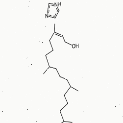 CC(=CCO)CCCC(C)CCCC(C)CCCC(C)C.c1c[nH]cn1